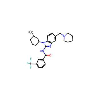 CC1CCCC(n2c(NC(=O)c3cccc(C(F)(F)F)c3)nc3cc(CN4CCCCC4)ccc32)C1